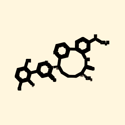 C[C@@H]1CCC[C@H](n2ncc(-c3c(C#N)ccc(Cl)c3F)cc2=O)c2cc(ccn2)-c2ccc(NC(=O)O)cc2NC1=O